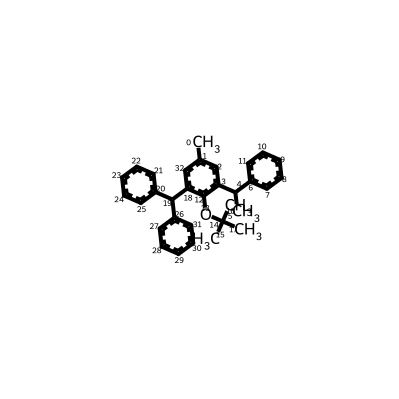 Cc1cc(C(C)c2ccccc2)c(OC(C)(C)C)c(C(c2ccccc2)c2ccccc2)c1